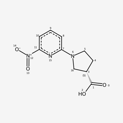 O=C(O)[C@H]1CCN(c2cccc([N+](=O)[O-])n2)C1